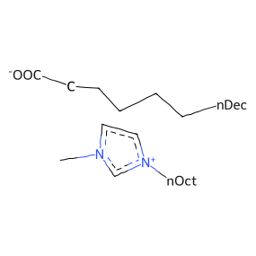 CCCCCCCCCCCCCCCC(=O)[O-].CCCCCCCC[n+]1ccn(C)c1